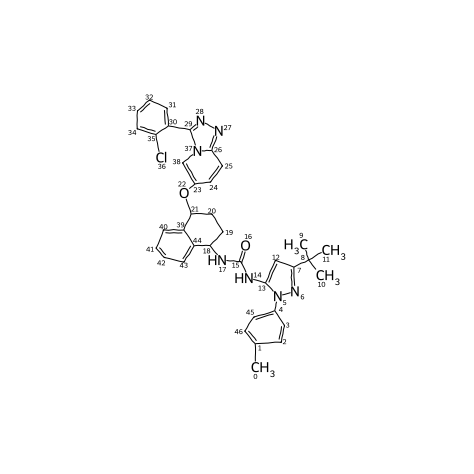 Cc1ccc(-n2nc(C(C)(C)C)cc2NC(=O)NC2CCC(Oc3ccc4nnc(-c5ccccc5Cl)n4c3)c3ccccc32)cc1